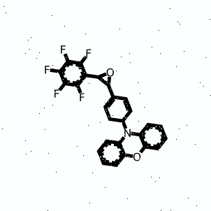 Fc1c(F)c(F)c(C2OC2C2=CCC(N3c4ccccc4Oc4ccccc43)C=C2)c(F)c1F